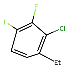 [CH2]Cc1ccc(F)c(F)c1Cl